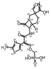 C=CC1(C(=O)O)CS[C@@H]2C(NC(=O)C(=NOCP(=O)(O)O)c3csc(N)n3)C(=O)N2C1